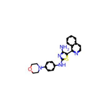 Nc1nc(Nc2ccc(N3CCOCC3)cc2)sc1-c1nccc2ccccc12